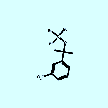 CC[Si](CC)(CC)OC(C)(C)c1cccc(C(=O)O)c1